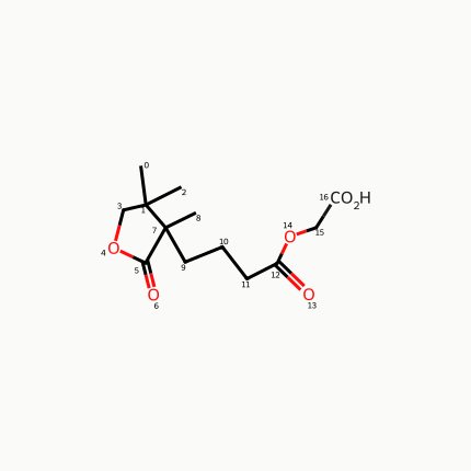 CC1(C)COC(=O)C1(C)CCCC(=O)OCC(=O)O